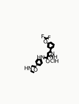 Cl.O=C(Nc1ccc([C@H]2CNCCO2)cc1)c1cc(-c2cccc(OC(F)F)c2)n[nH]1